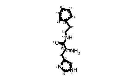 N[C@@H](Cc1c[nH]cn1)C(=O)NCCc1ccccc1